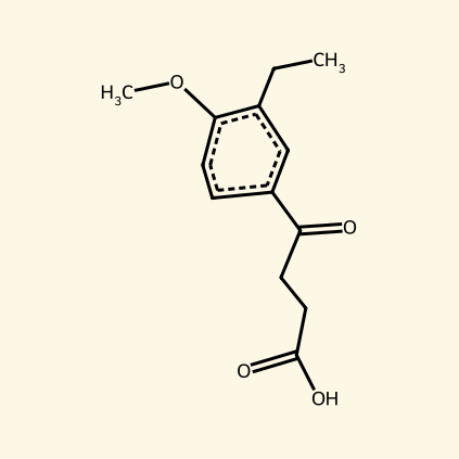 CCc1cc(C(=O)CCC(=O)O)ccc1OC